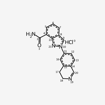 Cl.NC(=O)c1cccc2cn(-c3ccc4c(c3)CCN=C4)nc12